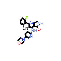 N#Cc1cccc(F)c1-c1cc(Nc2ccc(N3CCOCC3)cn2)c2c(n1)CNC2=O